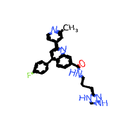 Cc1cc(-c2cc(-c3ccc(F)cc3)c3ccc(C(=O)NCCCC4=NNCN4)cc3n2)ccn1